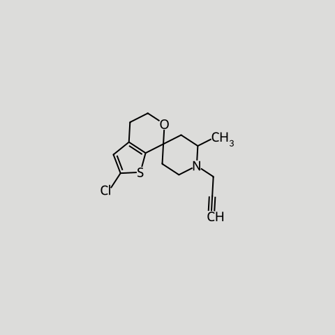 C#CCN1CCC2(CC1C)OCCc1cc(Cl)sc12